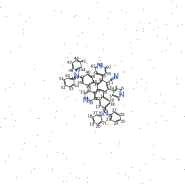 N#Cc1c(-c2ccncc2)c(-c2ccc(N(c3ccccc3)c3ccccc3)cc2)c(-c2ccncc2)c(-c2ccc(N(c3ccccc3)c3ccccc3)cc2)c1-c1ccncc1